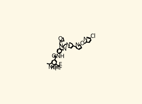 Cc1n[nH]c2c(C(F)(F)F)cc(C(=O)Nc3ccc4c(c3)nc(CN3CC=C(c5cccc(OCc6ccc(Cl)cn6)n5)CC3)n4C[C@@H]3CCO3)cc12